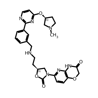 CN1CC[C@H](Oc2ccnc(-c3cccc(CNCC[C@H]4CN(c5ccc6c(n5)NC(=O)CO6)C(=O)O4)c3)n2)C1